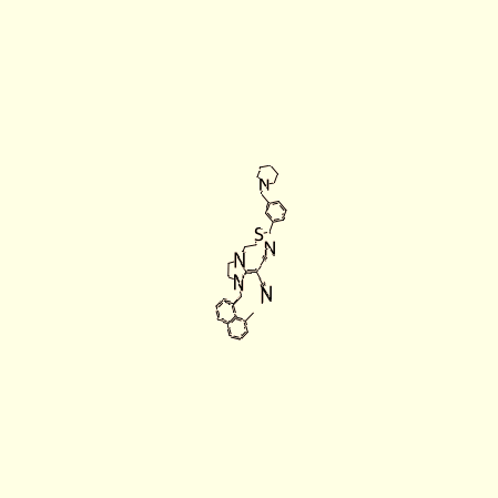 Cc1cccc2cccc(CN3CCN(CCSCc4cccc(CN5CCCCC5)c4)C3=C(C#N)C#N)c12